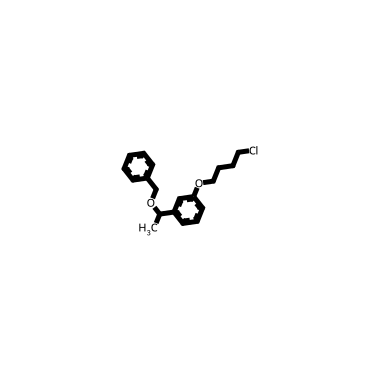 CC(OCc1ccccc1)c1cccc(OCCCCCl)c1